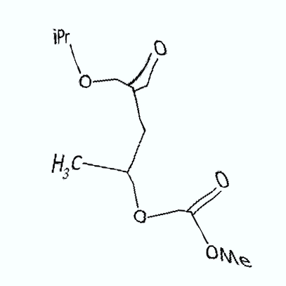 COC(=O)OC(C)CC(=O)OC(C)C